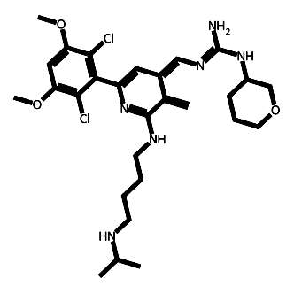 C=c1c(NCCCCNC(C)C)nc(-c2c(Cl)c(OC)cc(OC)c2Cl)c/c1=C/N=C(\N)NC1CCCOC1